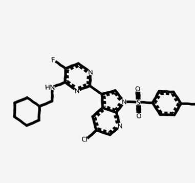 Cc1ccc(S(=O)(=O)n2cc(-c3ncc(F)c(NCC4CCCCC4)n3)c3cc(Cl)cnc32)cc1